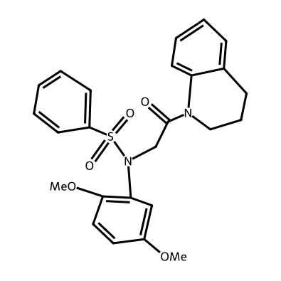 COc1ccc(OC)c(N(CC(=O)N2CCCc3ccccc32)S(=O)(=O)c2ccccc2)c1